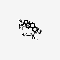 CCOC(C)OC1CC2=C(CC[C@@H]3C2=CC[C@@]2(C)[C@H]3CC[C@@]2(C#N)CC)CC12OCCO2